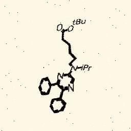 CC(C)N(CCCCCC(=O)OC(C)(C)C)c1cnc(-c2ccccc2)c(-c2ccccc2)n1